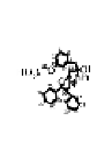 CCCC(O)(Cc1cccc(OCC(=O)O)c1)Cc1nc(-c2ccccc2)c(-c2ccccc2)o1